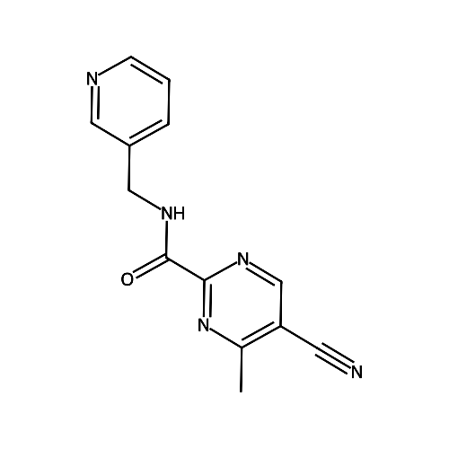 Cc1nc(C(=O)NCc2cccnc2)ncc1C#N